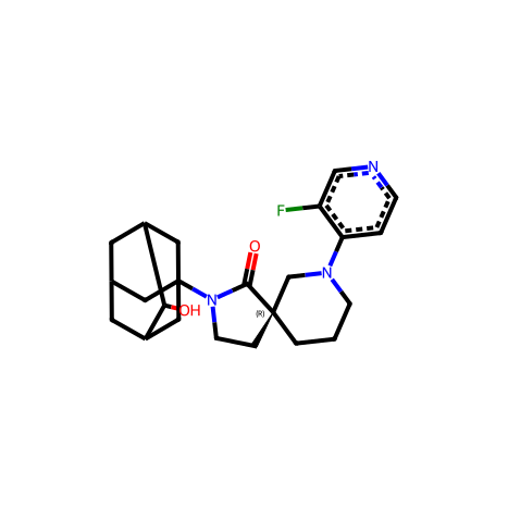 O=C1N(C23CC4CC(C2)C(O)C(C4)C3)CC[C@@]12CCCN(c1ccncc1F)C2